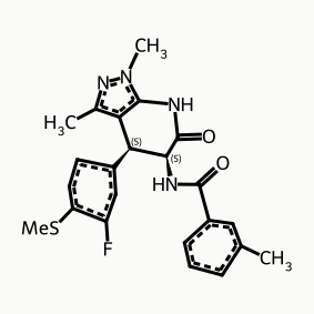 CSc1ccc([C@H]2c3c(C)nn(C)c3NC(=O)[C@H]2NC(=O)c2cccc(C)c2)cc1F